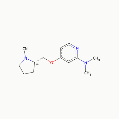 CN(C)c1cc(OC[C@@H]2CCCN2C#N)ccn1